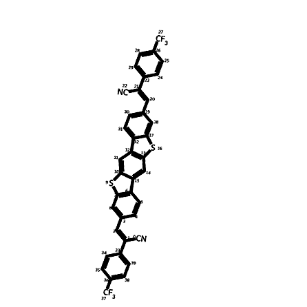 N#C/C(=C\c1ccc2c(c1)sc1cc3c(cc12)sc1cc(/C=C(\C#N)c2ccc(C(F)(F)F)cc2)ccc13)c1ccc(C(F)(F)F)cc1